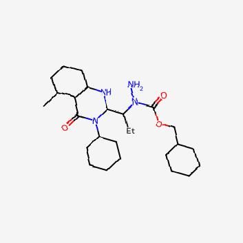 CCC(C1NC2CCCC(C)C2C(=O)N1C1CCCCC1)N(N)C(=O)OCC1CCCCC1